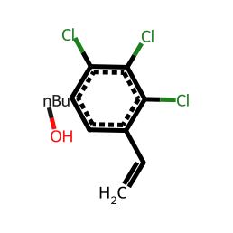 C=Cc1ccc(Cl)c(Cl)c1Cl.CCCCO